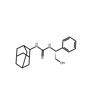 O=C(NC1C2CC3CC(C2)CC1C3)N[C@@H](CO)c1ccccc1